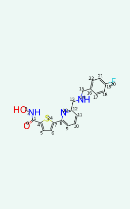 O=C(NO)c1ccc(-c2cccc(CNCc3ccc(F)cc3)n2)s1